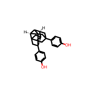 Oc1ccc(C23CC4C56CC7(c8ccc(O)cc8)CC([C@H]5C2)[C@@H](C3)C4(C7)C6)cc1